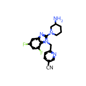 N#Cc1ccc(Cn2c(N3CCCC(N)C3)nc3cc(F)cc(F)c32)nc1